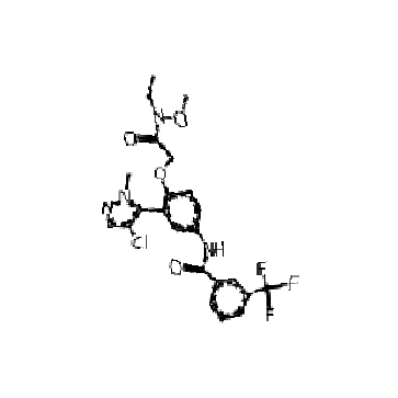 CCN(OC)C(=O)COc1ccc(NC(=O)c2cccc(C(F)(F)F)c2)cc1-c1c(Cl)cnn1C